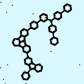 c1ccc(-c2ccc(N(c3ccc(-c4ccccc4)cc3)c3cccc(-c4ccc(-c5ccc6c7cccc8c9cc(-c%10ccc%11c(c%10)c%10ccccc%10n%11-c%10ccccc%10)ccc9n(c6c5)c87)cc4)c3)cc2)cc1